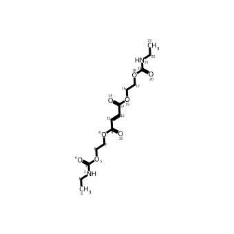 CCNC(=O)OCCOC(=O)/C=C/C(=O)OCCOC(=O)NCC